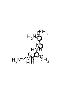 COc1cc(NC(=O)NCCCN)cc(Nc2nccc(-c3ccc(OC)c(N)c3)n2)c1